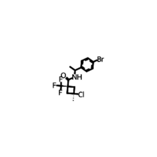 CC(NC(=O)[C@]1(C(F)(F)F)C[C@@](C)(Cl)C1)c1ccc(Br)cc1